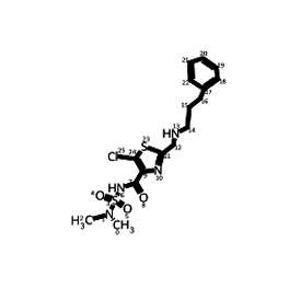 CN(C)S(=O)(=O)NC(=O)c1nc(CNCCCc2ccccc2)sc1Cl